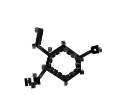 C=Cc1cc(Cl)ccc1N